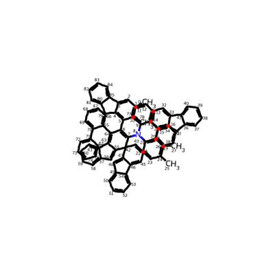 Cc1cc2c(c(C3=C(N(c4ccccc4-c4ccccc4)c4ccc(C)c(C)c4-c4cccc5c4Cc4ccccc4-5)C4(C=CC=C5C4=Cc4ccccc45)C4=Cc5ccccc5C4=C3c3ccccc3-c3ccccc3)c1C)Cc1ccccc1-2